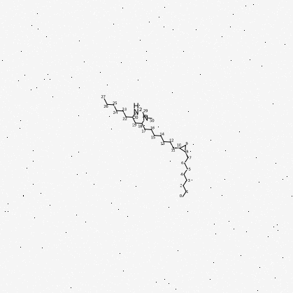 CCCCCCCC[C@@H]1C[C@@H]1CCCCCCCC(CC(N)CCCCCC)N(C)C